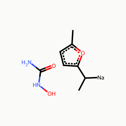 Cc1ccc([CH](C)[Na])o1.NC(=O)NO